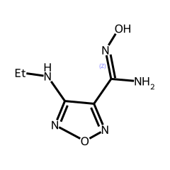 CCNc1nonc1/C(N)=N/O